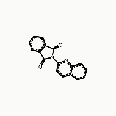 O=C1c2ccccc2C(=O)N1c1ccc2ccccc2n1